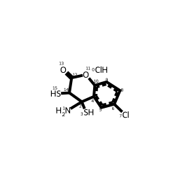 Cl.NC1(S)c2cc(Cl)ccc2OC(=O)C1S